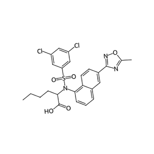 CCCCC(C(=O)O)N(c1cccc2cc(-c3noc(C)n3)ccc12)S(=O)(=O)c1cc(Cl)cc(Cl)c1